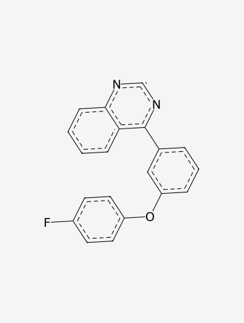 Fc1ccc(Oc2cccc(-c3n[c]nc4ccccc34)c2)cc1